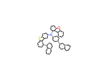 c1ccc2cc(-c3ccc(N(c4ccc5sc6cccc(-c7cccc8ccccc78)c6c5c4)c4cccc5oc6ccccc6c45)cc3)ccc2c1